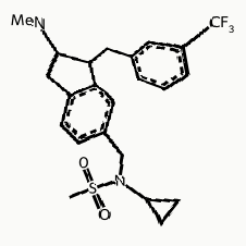 CNC1Cc2ccc(CN(C3CC3)S(C)(=O)=O)cc2C1Cc1cccc(C(F)(F)F)c1